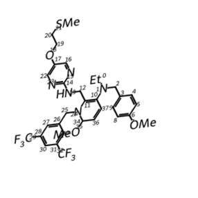 CCN(Cc1ccc(OC)cc1)C1=C(CNc2ncc(OCCSC)cn2)N(Cc2cc(C(F)(F)F)cc(C(F)(F)F)c2)C(OC)C=C1